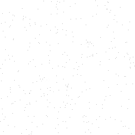 COC(=O)C1(C)CC=C(CCCC(C)OC)CC1